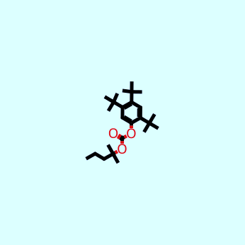 CCCC(C)(C)OC(=O)Oc1cc(C(C)(C)C)c(C(C)(C)C)cc1C(C)(C)C